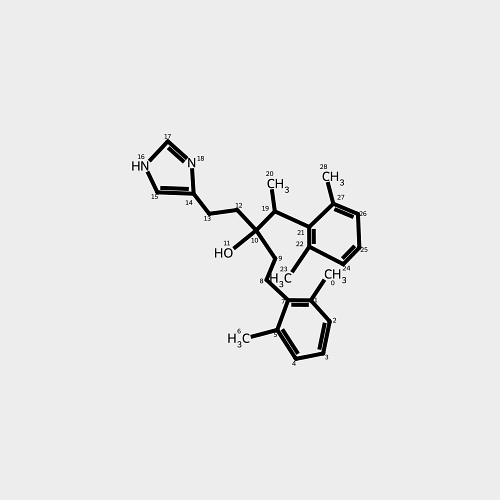 Cc1cccc(C)c1CCC(O)(CCc1c[nH]cn1)C(C)c1c(C)cccc1C